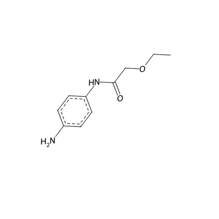 CCOCC(=O)Nc1ccc(N)cc1